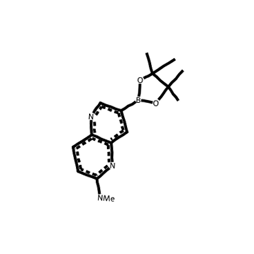 CNc1ccc2ncc(B3OC(C)(C)C(C)(C)O3)cc2n1